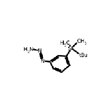 CC(C)(C)[Si](C)(C)c1cccc(N=NN)c1